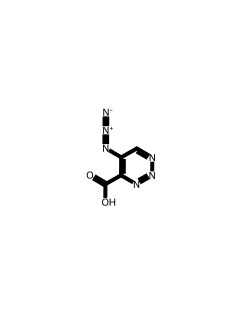 [N-]=[N+]=Nc1cnnnc1C(=O)O